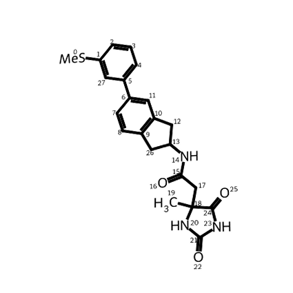 CSc1cccc(-c2ccc3c(c2)CC(NC(=O)CC2(C)NC(=O)NC2=O)C3)c1